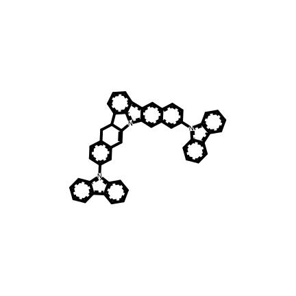 C1=C2C(Cc3ccc(-n4c5ccccc5c5ccccc54)cc31)c1cccc3c4cc5ccc(-n6c7ccccc7c7ccccc76)cc5cc4n2c13